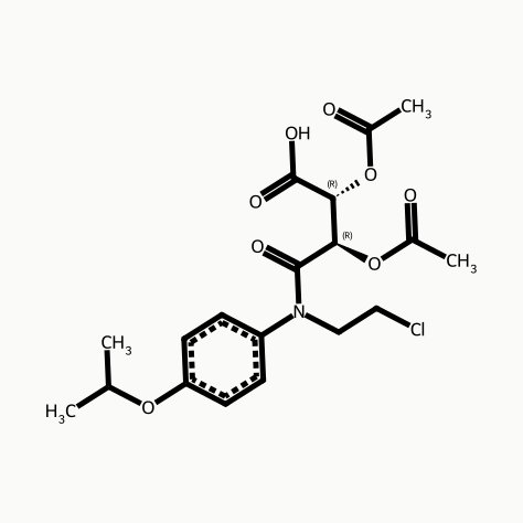 CC(=O)O[C@@H](C(=O)O)[C@@H](OC(C)=O)C(=O)N(CCCl)c1ccc(OC(C)C)cc1